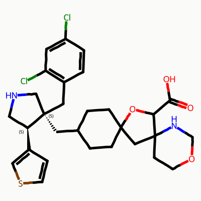 O=C(O)C1OC2(CCC(C[C@@]3(Cc4ccc(Cl)cc4Cl)CNC[C@@H]3c3ccsc3)CC2)CC12CCOCN2